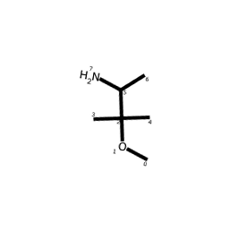 COC(C)(C)C(C)N